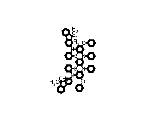 CC1(C)c2ccccc2-c2ccc(N3c4ccccc4B4c5cc6c(cc5N(c5ccccc5)c5cc(Oc7ccccc7)cc3c54)N(c3ccccc3)c3cc(Oc4ccccc4)cc4c3B6c3ccccc3N4c3ccc4c(c3)C(C)(C)c3ccccc3-4)cc21